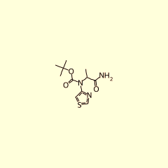 CC(C(N)=O)N(C(=O)OC(C)(C)C)c1cscn1